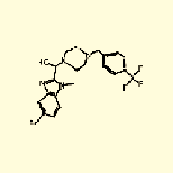 Cn1c(C(O)N2CCN(Cc3ccc(C(F)(F)F)cc3)CC2)nc2cc(Br)ccc21